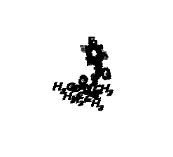 COC(=O)N(CCC(=O)c1ccc(F)cc1)C(C)C(C)(C)C